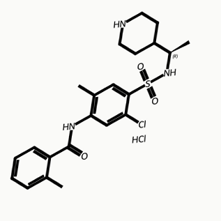 Cc1cc(S(=O)(=O)N[C@H](C)C2CCNCC2)c(Cl)cc1NC(=O)c1ccccc1C.Cl